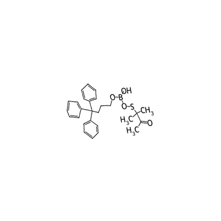 CC(=O)C(C)(C)SOB(O)OCCCC(c1ccccc1)(c1ccccc1)c1ccccc1